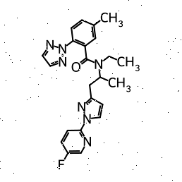 CCN(C(=O)c1cc(C)ccc1-n1nccn1)C(C)Cc1ccn(-c2ccc(F)cn2)n1